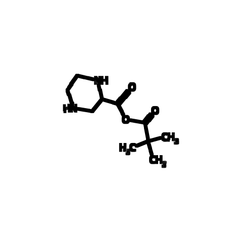 CC(C)(C)C(=O)OC(=O)C1CNCCN1